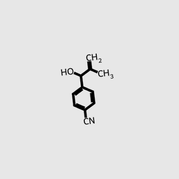 C=C(C)C(O)c1ccc(C#N)cc1